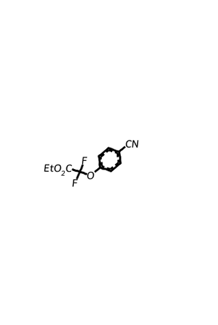 CCOC(=O)C(F)(F)Oc1ccc(C#N)cc1